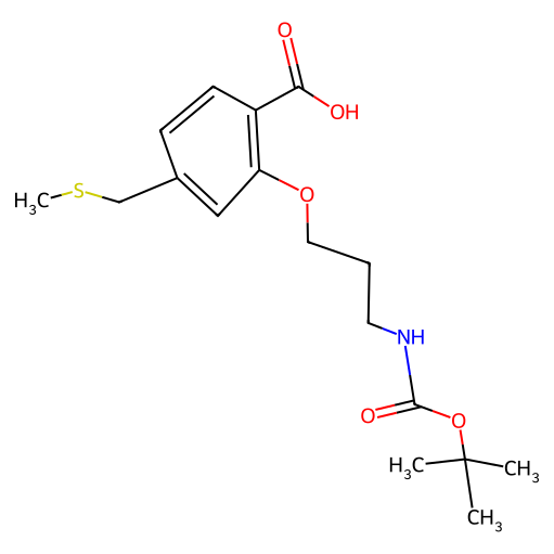 CSCc1ccc(C(=O)O)c(OCCCNC(=O)OC(C)(C)C)c1